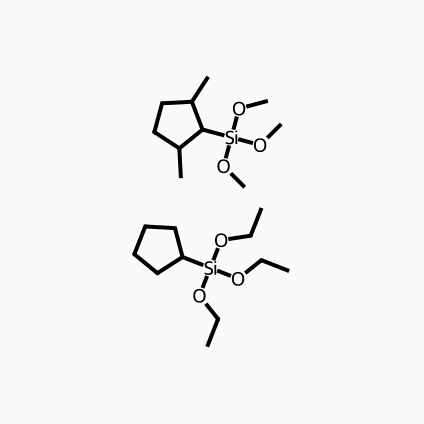 CCO[Si](OCC)(OCC)C1CCCC1.CO[Si](OC)(OC)C1C(C)CCC1C